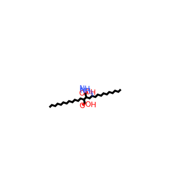 CCCCCCCCCCCCC(C(=O)O)C(CCCCCCCCCCCC)C(=O)O.N.N